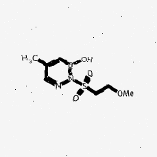 COCCS(=O)(=O)N1N=CC(C)=CB1O